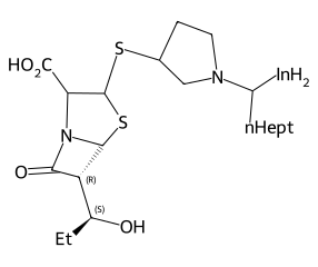 CCCCCCC[CH]([InH2])N1CCC(SC2SC3[C@H]([C@@H](O)CC)C(=O)N3C2C(=O)O)C1